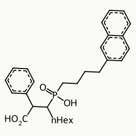 CCCCCCC(C(C(=O)O)c1ccccc1)P(=O)(O)CCCCc1ccc2ccccc2c1